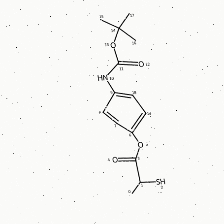 CC(S)C(=O)Oc1ccc(NC(=O)OC(C)(C)C)cc1